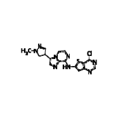 CN1CC(c2cnc3c(Nc4cc5ncnc(Cl)c5s4)nccn23)C=N1